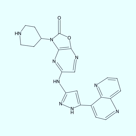 O=c1oc2ncc(Nc3cc(-c4ccnc5cccnc45)[nH]n3)nc2n1C1CCNCC1